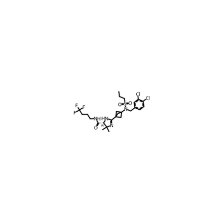 CCCS(=O)(=O)N(Cc1ccc(Cl)c(Cl)c1)C12CC(C3=NC(C)(C)[C@H](C(=O)NCCCC(F)(F)F)N3)(C1)C2